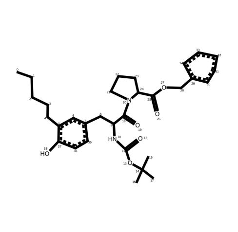 CCCCCc1cc(CC(NC(=O)OC(C)(C)C)C(=O)N2CCCC2C(=O)OCc2ccccc2)ccc1O